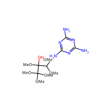 COC(OC)C(O)(OC)C(OC)(OC)OC.Nc1nc(N)nc(N)n1